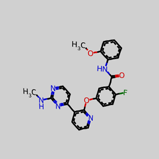 CNc1nccc(-c2cccnc2Oc2ccc(F)c(C(=O)Nc3ccccc3OC)c2)n1